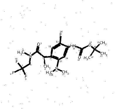 C[C@@H](C(=O)N(C)CC(F)(F)F)c1cc(F)c(NC(=O)OC(C)(C)C)cc1N(C)C